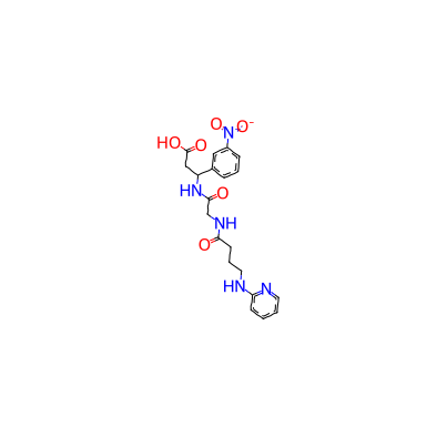 O=C(O)CC(NC(=O)CNC(=O)CCCNc1ccccn1)c1cccc([N+](=O)[O-])c1